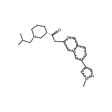 CC(C)CN1CCC[C@H](C(=O)Cc2cc3cc(-c4cnn(C)c4)ccc3cn2)C1